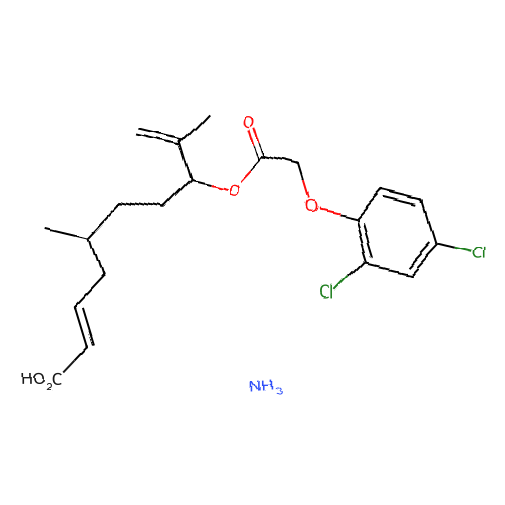 C=C(C)C(CCC(C)CC=CC(=O)O)OC(=O)COc1ccc(Cl)cc1Cl.N